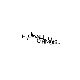 CC(F)(F)CCNC(=O)CCCNC(=O)OC(C)(C)C